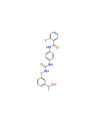 CC(O)c1cccc(SNC(=O)Nc2ccc(NC(=O)c3ccccc3F)cc2)c1